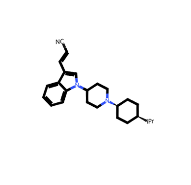 CC(C)[C@H]1CC[C@@H](N2CCC(n3cc(/C=C/C#N)c4ccccc43)CC2)CC1